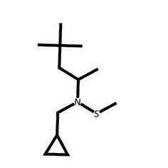 CSN(CC1CC1)C(C)CC(C)(C)C